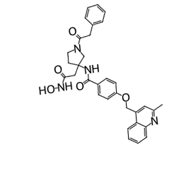 Cc1cc(COc2ccc(C(=O)NC3(CC(=O)NO)CCN(C(=O)Cc4ccccc4)C3)cc2)c2ccccc2n1